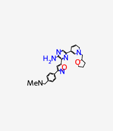 CNCc1ccc(-c2cc(-c3nc(C4=CN(CC5CCCO5)CC=C4)cnc3N)on2)cc1